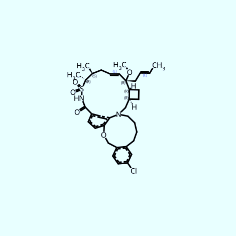 C/C=C/C[C@]1(OC)/C=C/C[C@H](C)[C@@H](C)S(=O)(=O)NC(=O)c2ccc3c(c2)N(CCCCc2cc(Cl)ccc2CO3)C[C@@H]2CC[C@H]21